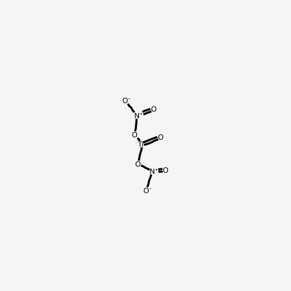 O=[N+]([O-])[O][Ti](=[O])[O][N+](=O)[O-]